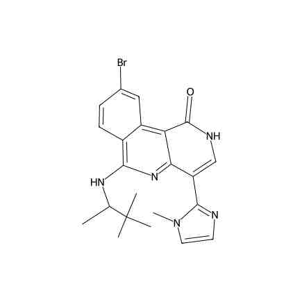 CC(Nc1nc2c(-c3nccn3C)c[nH]c(=O)c2c2cc(Br)ccc12)C(C)(C)C